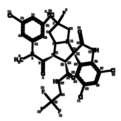 CN(C(=O)[C@@H]1C2CC(F)(F)CN2[C@@]2(C(=O)Nc3c(Cl)cc(Cl)cc32)[C@@H]1C(=O)NCC(F)(F)F)c1cc(Cl)cc(Cl)c1